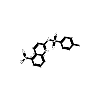 Cc1ccc(S(=O)(=O)Oc2ccc3c([N+](=O)[O-])cccc3n2)cc1